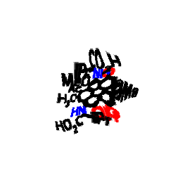 COC1=CC(=O)C2=C3C1=C1C(OC)=CC(=O)c4c(NC(C(=O)O)C(C)C)c(OC)c5c(c41)C3C(=C(NC(C(=O)O)C(C)C)C2O)C=C(C)C5C(C)=O